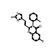 Cc1nc(/C=C/c2nc3ccc(F)cc3c(=O)n2-c2ccccc2C)cs1